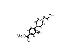 COC(=O)c1ccc(N2CCN(CCO)CC2)c(Br)c1